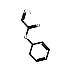 C=CC(=O)OC1C=CC=CC1